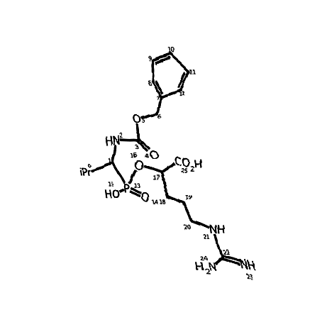 CC(C)C(NC(=O)OCc1ccccc1)P(=O)(O)OC(CCCNC(=N)N)C(=O)O